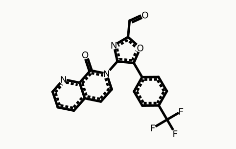 O=Cc1nc(-n2ccc3cccnc3c2=O)c(-c2ccc(C(F)(F)F)cc2)o1